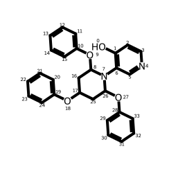 Oc1ccncc1N1C(Oc2ccccc2)CC(Oc2ccccc2)CC1Oc1ccccc1